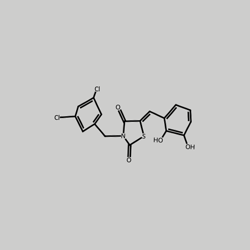 O=C1SC(=Cc2cccc(O)c2O)C(=O)N1Cc1cc(Cl)cc(Cl)c1